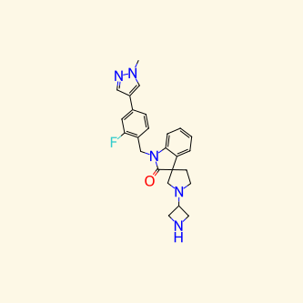 Cn1cc(-c2ccc(CN3C(=O)C4(CCN(C5CNC5)C4)c4ccccc43)c(F)c2)cn1